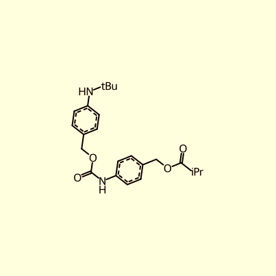 CC(C)C(=O)OCc1ccc(NC(=O)OCc2ccc(NC(C)(C)C)cc2)cc1